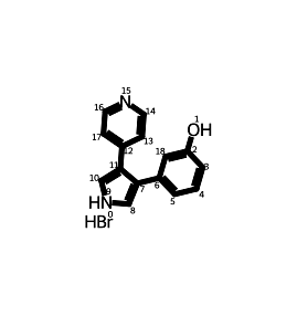 Br.Oc1cccc(-c2c[nH]cc2-c2ccncc2)c1